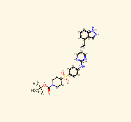 CC(C)(C)OC(=O)N1CCC(S(=O)(=O)c2ccc(Nc3ncc(/C=C/c4cccc5[nH]ncc45)cn3)cc2)CC1